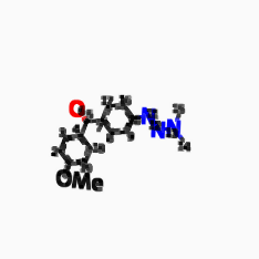 COc1ccc(C(=O)c2ccc(N=NN(C)C)cc2)cc1